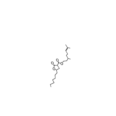 CCCCCCCC1CC(C(=O)OCCC(C)CCC=C(C)C)C(=O)O1